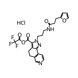 Cl.O=C(CCc1ccco1)NCCCn1nc2c(c1C(=O)OC(=O)C(F)(F)F)CCc1cnccc1-2